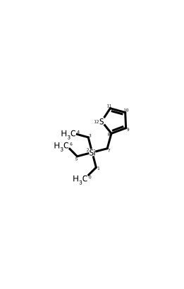 CC[Si](CC)(CC)Cc1cccs1